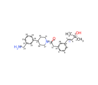 C[Si](C)(O)/C=C/c1cccc(CC(=O)N2CCC(c3cccc(CN)c3)CC2)c1